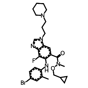 Cc1cc(Br)ccc1Nc1c(C(=O)N(C)OCC2CC2)cc2c(ncn2CCCN2CCCCC2)c1F